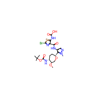 CO[C@@H]1CO[C@H](c2c(NC(=O)c3nc(Br)sc3NC(=O)O)cnn2C)CC[C@H]1NC(=O)OC(C)(C)C